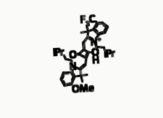 COc1cccc2c1C(C)(C)/C(=C/C1=C(O)C(=C\C3=[N+](CCC(C)C)c4cccc(C(F)(F)F)c4C3(C)C)/C1=O)N2CCC(C)C